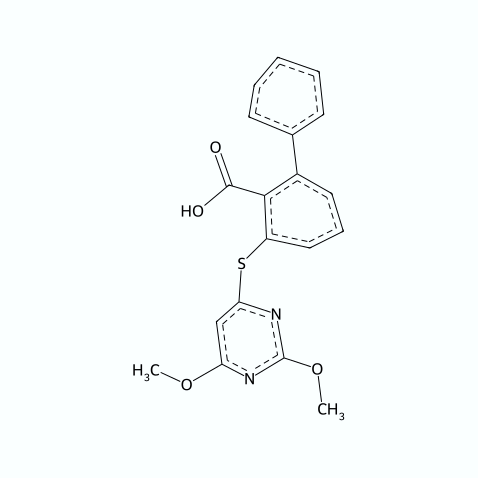 COc1cc(Sc2cccc(-c3ccccc3)c2C(=O)O)nc(OC)n1